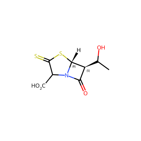 CC(O)[C@H]1C(=O)N2C(C(=O)O)C(=S)S[C@H]12